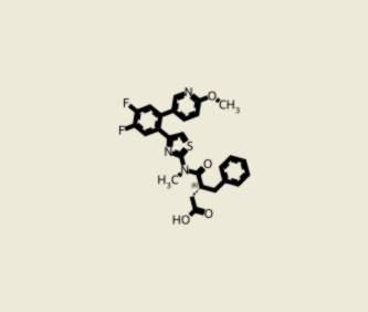 COc1ccc(-c2cc(F)c(F)cc2-c2csc(N(C)C(=O)[C@@H](CC(=O)O)Cc3ccccc3)n2)cn1